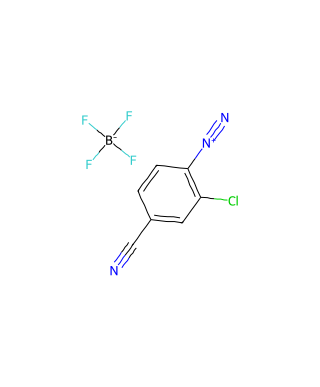 F[B-](F)(F)F.N#Cc1ccc([N+]#N)c(Cl)c1